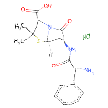 CC1(C)S[C@@H]2[C@H](NC(=O)C(N)c3ccccc3)C(=O)N2[C@H]1C(=O)O.Cl